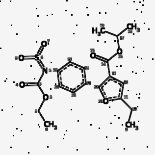 CCOC(=O)N=S(=O)=O.CCc1cc(C(=O)OC(C)C)co1.c1ccccc1